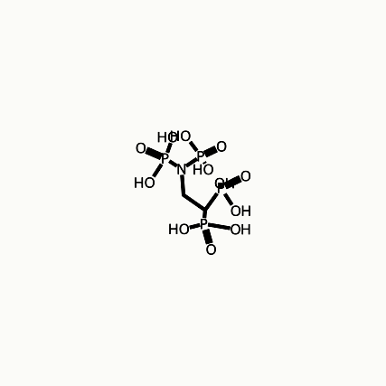 O=P(O)(O)C(CN(P(=O)(O)O)P(=O)(O)O)P(=O)(O)O